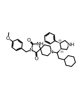 COc1ccc(CN2C(=O)NC3(CCN(C(CC4CCCCC4)[C@@H]4CNC[C@@H]4c4ccccc4)CC3)C2=O)cc1